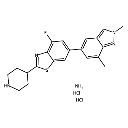 Cc1cc(-c2cc(F)c3nc(C4CCNCC4)sc3c2)cc2cn(C)nc12.Cl.Cl.N